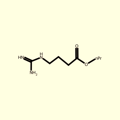 CCCOC(=O)CCCNC(=N)N